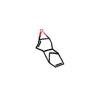 C1=CC2CC1C1C=C3OC3C21